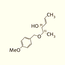 CC=C[C@@H](O)[C@H](C)OCc1ccc(OC)cc1